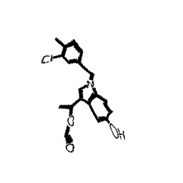 Cc1ccc(Cn2cc(C(C)OC=O)c3cc(O)ccc32)cc1Cl